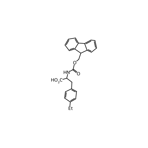 CCc1ccc(CC(NC(=O)OCC2c3ccccc3-c3ccccc32)C(=O)O)cc1